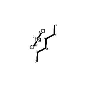 CCCCCC.[Cl][Hg][Cl]